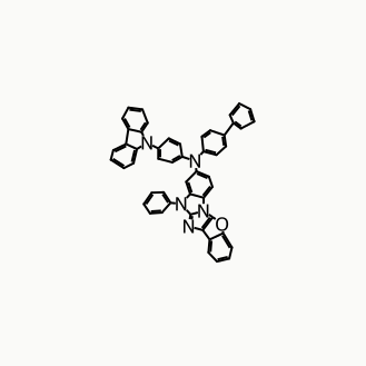 c1ccc(-c2ccc(N(c3ccc(-n4c5ccccc5c5ccccc54)cc3)c3ccc4c(c3)n(-c3ccccc3)c3nc5c6ccccc6oc5n43)cc2)cc1